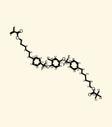 C=C(C)C(=O)OCCCCCCc1ccc(C(F)(F)Oc2ccc(OC(F)(F)c3ccc(CCCCCCOC(=O)C(C)(C)C)cc3)cc2C)cc1